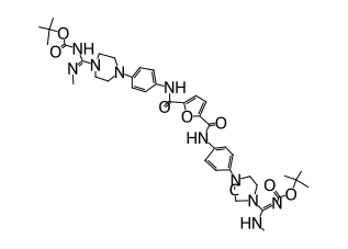 C/N=C(/NC(=O)OC(C)(C)C)N1CCN(c2ccc(NC(=O)c3ccc(C(=O)Nc4ccc(N5CCN(/C(=N\C(=O)OC(C)(C)C)NC)CC5)cc4)o3)cc2)CC1